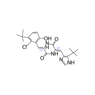 CC(C)(C)c1ccc(O)c(/C=c2\[nH]c(=O)/c(=C/c3nc[nH]c3C(C)(C)C)[nH]c2=O)c1Cl